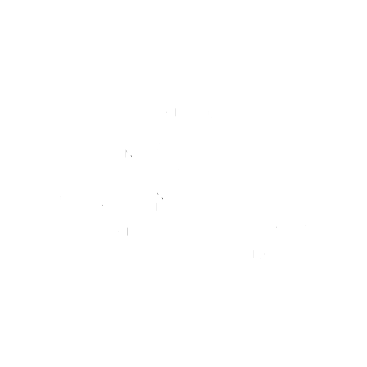 Cc1ccc(C(=O)O)cc1-c1[nH]c(C2(C)COC2)nc1C